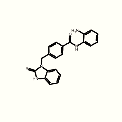 Nc1ccccc1NC(=O)c1ccc(Cn2c(=S)[nH]c3ccccc32)cc1